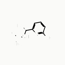 C[C@H](N[S@@+]([O-])C(C)(C)C)c1cccc(C(F)(F)F)n1